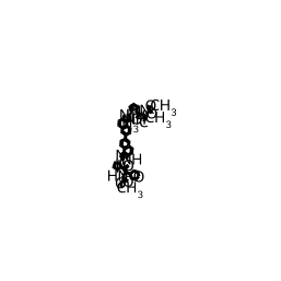 COC(=O)NC(C(=O)N1CCC[C@H]1c1nc2c(ccc3cc(-c4ccc5c(ccc6nc([C@@H]7CCCN7C(=O)[C@@H](NC(=O)OC)C(C)C)[nH]c65)c4)ccc32)[nH]1)C1CCOCC1